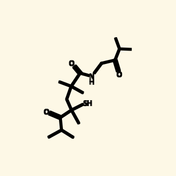 CC(C)C(=O)CNC(=O)C(C)(C)CC(C)(S)C(=O)C(C)C